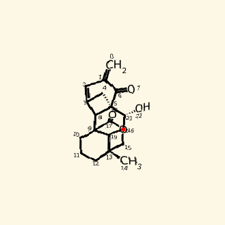 C=C1C=C2C[C@@]3(C1=O)C2C12CCC[C@@](C)(COC1=O)C2C[C@H]3O